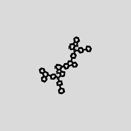 c1ccc(-c2ccc(N(c3ccc(-c4cc5cc(-c6ccnc7sc8c(N(c9ccc(-c%10ccccc%10)cc9)c9ccc(-c%10cc%11ccccc%11c%11ccccc%10%11)cc9)cccc8c67)ccc5c5ccccc45)cc3)c3cncc4c3sc3ccccc34)cc2)cc1